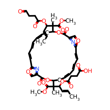 C/C=C/C(OC(=O)CCC=O)C(C)(C(=O)OC)C1C\C=C/C=C/C=C/c2nc(co2)C(=O)OC(C(C)(C(=O)OC)C(/C=C/C)OC(=O)CCC(=O)O)C\C=C/C=C/C=C/c2nc(co2)C(=O)O1